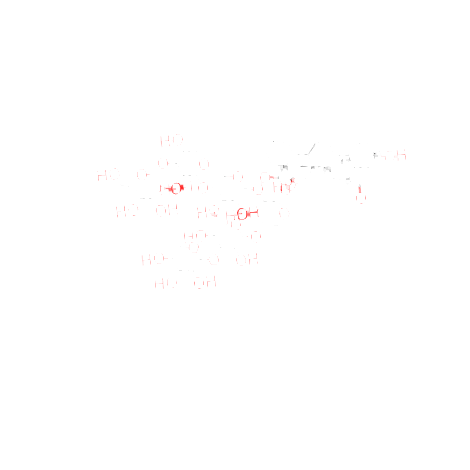 CC1OC(OC2C(C)OC(OC(=O)[C@]34CCC(C)(C)CC3C3=CCC5[C@@]6(C)CC[C@H](O)CC6[C@@](C)(C=O)C[C@@]5(C)[C@]3(C)C[C@H]4O)C(OC3OC(C)C(OC4OCC(O)C(OC5OC(CO)C(O)C(O)C5O)C4O)C(O)C3O)C2O)C(O)C(OC2OCC(O)C(O)C2O)C1O